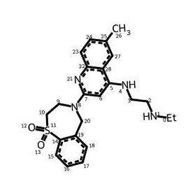 CCNCCNc1cc(N2CCS(=O)(=O)c3ccccc3C2)nc2ccc(C)cc12